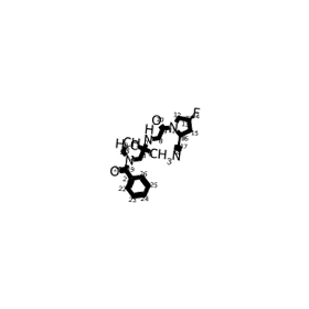 CCN(CC(C)(C)NCC(=O)N1C[C@@H](F)C[C@H]1C#N)C(=O)c1ccccc1